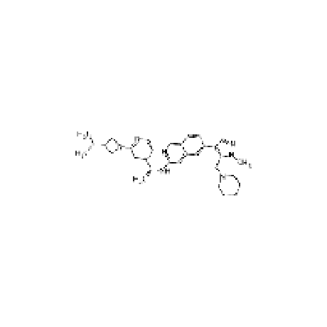 C=C(Nc1cc2cc(-c3cnn(C)c3CN3CCCCC3)ccc2cn1)c1ccnc(N2CC(N(C)C)C2)c1